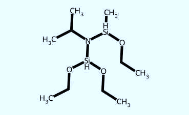 CCO[SiH](C)N(C(C)C)[SiH](OCC)OCC